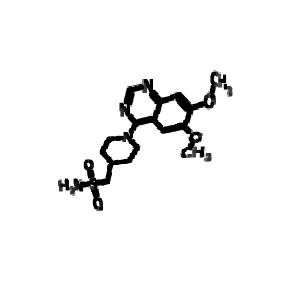 COc1cc2ncnc(N3CCC(CS(N)(=O)=O)CC3)c2cc1OC